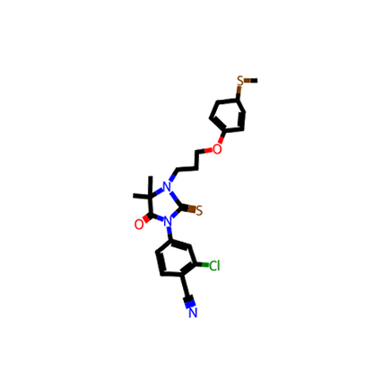 CSC1C=CC(OCCCN2C(=S)N(c3ccc(C#N)c(Cl)c3)C(=O)C2(C)C)=CC1